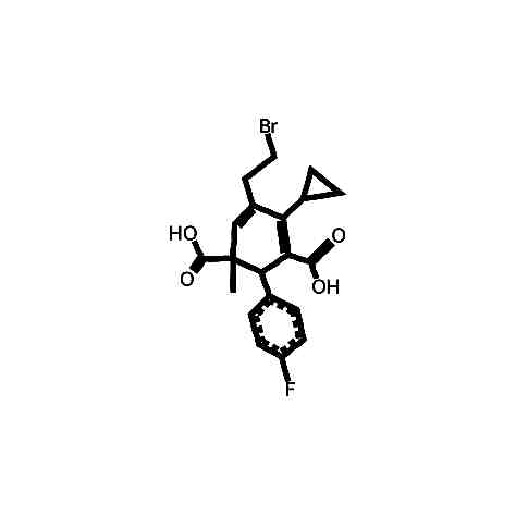 CC1(C(=O)O)C=C(CCBr)C(C2CC2)=C(C(=O)O)C1c1ccc(F)cc1